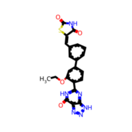 CCOc1cc(-c2cccc(C=C3SC(=O)NC3=O)c2)ccc1-c1nc2[nH]nnc2c(=O)[nH]1